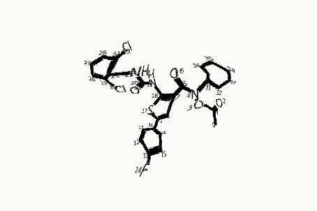 CC(=O)ON(C(=O)c1cc(-c2ccc(F)cc2)sc1NC(=O)Nc1c(Cl)cccc1Cl)C1CCCCC1